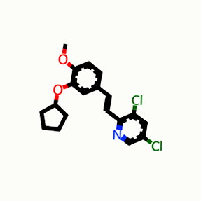 COc1ccc(C=Cc2ncc(Cl)cc2Cl)cc1OC1CCCC1